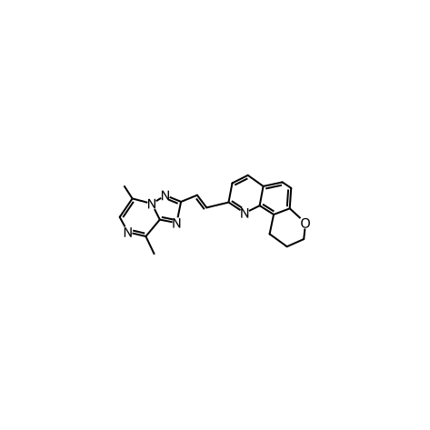 Cc1ncc(C)n2nc(/C=C/c3ccc4ccc5c(c4n3)CCCO5)nc12